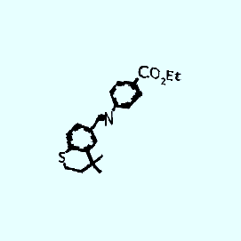 CCOC(=O)c1ccc(N=Cc2ccc3c(c2)C(C)(C)CCS3)cc1